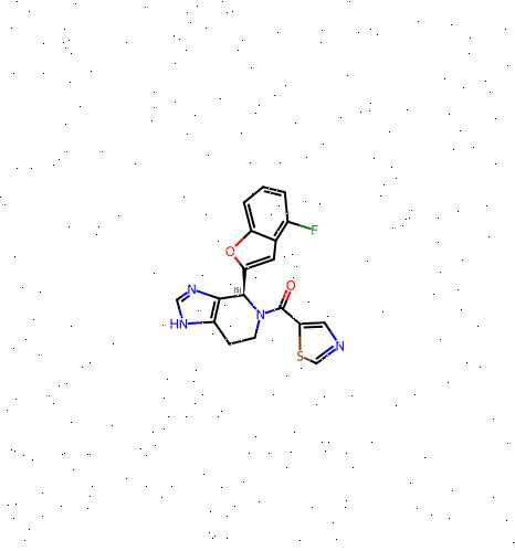 O=C(c1cncs1)N1CCc2[nH]cnc2[C@H]1c1cc2c(F)cccc2o1